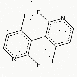 Fc1nccc(I)c1-c1c(I)ccnc1F